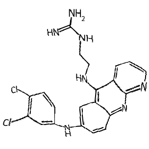 N=C(N)NCCNc1c2cc(Nc3ccc(Cl)c(Cl)c3)ccc2nc2ncccc12